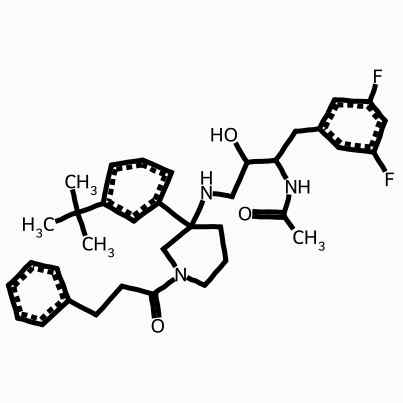 CC(=O)NC(Cc1cc(F)cc(F)c1)C(O)CNC1(c2cccc(C(C)(C)C)c2)CCCN(C(=O)CCc2ccccc2)C1